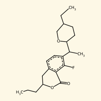 CCCC1Cc2ccc(C(C)C3CCC(CC)CO3)c(F)c2C(=O)O1